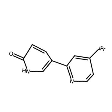 CC(C)c1ccnc(-c2ccc(=O)[nH]c2)c1